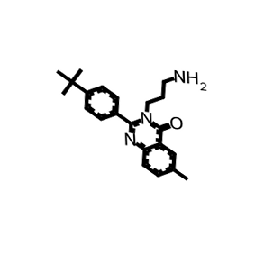 Cc1ccc2nc(-c3ccc(C(C)(C)C)cc3)n(CCCN)c(=O)c2c1